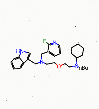 CCCCN(CCOCCN(Cc1cccnc1F)Cc1c[nH]c2ccccc12)C1CCCCC1